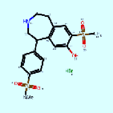 Br.CNS(=O)(=O)c1ccc(C2CNCCc3cc(S(C)(=O)=O)c(O)cc32)cc1